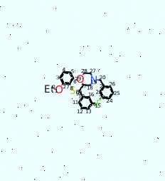 CCOc1ccccc1S[C@@H](c1cccc(F)c1)C1CN(Cc2ccccc2)CCO1